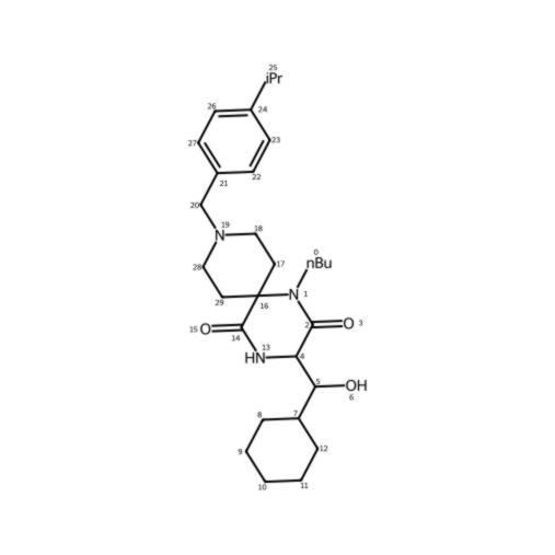 CCCCN1C(=O)C(C(O)C2CCCCC2)NC(=O)C12CCN(Cc1ccc(C(C)C)cc1)CC2